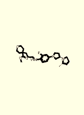 COC(=O)C1(CCCNc2ccc(N3CC[C@H](N4CCC[C@@H]4C)C3)cc2F)CCOCC1